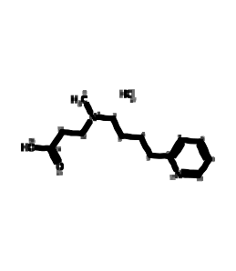 CN(CCCCc1ccccn1)CCC(=O)O.Cl